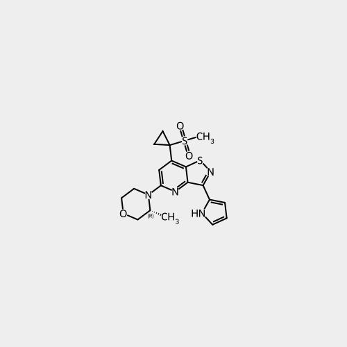 C[C@@H]1COCCN1c1cc(C2(S(C)(=O)=O)CC2)c2snc(-c3ccc[nH]3)c2n1